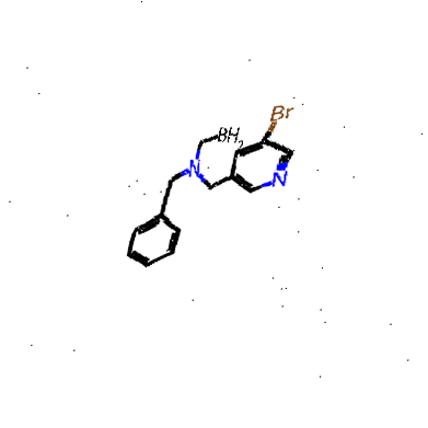 BCN(Cc1ccccc1)Cc1cncc(Br)c1